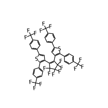 FC(F)(F)c1ccc(-c2cc(C3=C(c4cc(-c5ccc(C(F)(F)F)cc5)sc4-c4ccc(C(F)(F)F)cc4)C(F)(F)C(F)(F)C3(F)F)c(-c3ccc(C(F)(F)F)cc3)s2)cc1